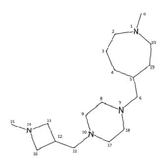 CN1CCCC(CN2CCN(CC3CN(C)C3)CC2)CC1